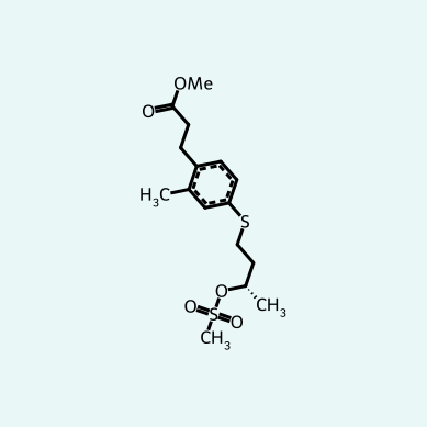 COC(=O)CCc1ccc(SCC[C@H](C)OS(C)(=O)=O)cc1C